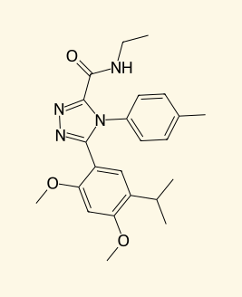 CCNC(=O)c1nnc(-c2cc(C(C)C)c(OC)cc2OC)n1-c1ccc(C)cc1